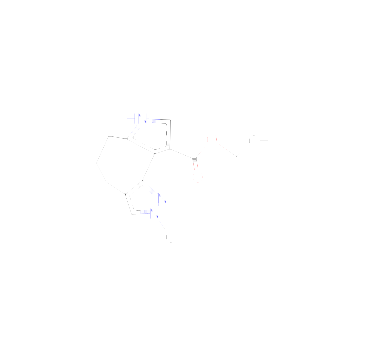 CCOC(=O)c1c[nH]c2c1-c1nn(C)cc1CCC2